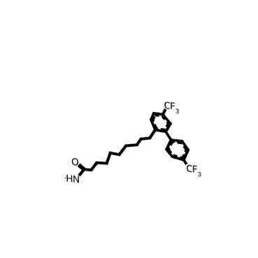 [NH]C(=O)CCCCCCCCCc1ccc(C(F)(F)F)cc1-c1ccc(C(F)(F)F)cc1